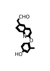 Cc1cc(O)ccc1Oc1ccc2cc(CC=O)ccc2n1